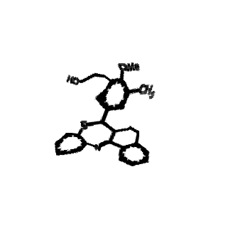 COc1c(C)cc(C2Sc3ccccc3N=C3c4ccccc4CCC32)cc1CO